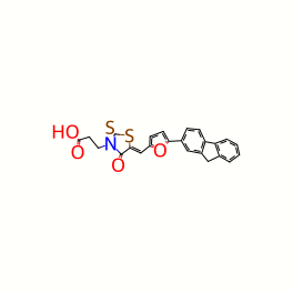 O=C(O)CCN1C(=O)C(=Cc2ccc(-c3ccc4c(c3)Cc3ccccc3-4)o2)SC1=S